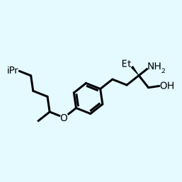 CC[C@@](N)(CO)CCc1ccc(OC(C)CCCC(C)C)cc1